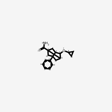 NC(=S)C12CC3C(OC4CC4)C1CC3(c1ccccc1)C2